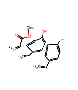 C=CC(=O)OC(C)(C)C.C=Cc1ccc(C(C)C)cc1.C=Cc1ccc(O)cc1